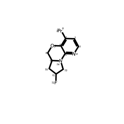 CC(C)c1ccnc2c1OCC1CC(F)CN21